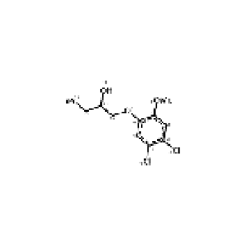 COc1cc(Cl)c(Cl)cc1OCC(O)CC(C)C